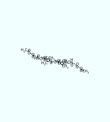 C=CC(=O)OCCOC(=O)CCC(=O)NC1CCC(C(=O)Oc2c(C)cc(OC(=O)C3CCC(C(=O)Oc4cc(C)c(OC(=O)C5CCC(NC(=O)CCC(=O)OCCOC(=O)C=C)CC5)c(C)c4C)CC3)c(C)c2C)CC1